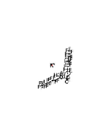 O=C([O-])C(CCC(F)(F)C(F)(F)C(F)(F)C(F)(F)C(F)(F)C(F)(F)C(F)(F)C(F)(F)F)C(CCC(F)(F)C(F)(F)C(F)(F)C(F)(F)C(F)(F)C(F)(F)C(F)(F)C(F)(F)F)(C(=O)[O-])S(=O)(=O)O.[K+].[K+]